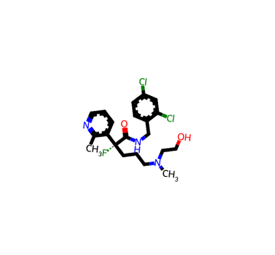 Cc1ncccc1[C@](F)(CCCN(C)CCO)C(=O)NCc1ccc(Cl)cc1Cl